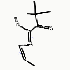 C=N/C(=N\C=C/C)C(=O)C(C)(C)C